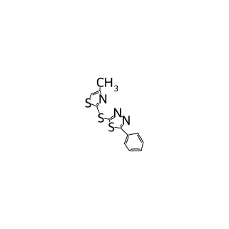 Cc1csc(Sc2nnc(-c3ccccc3)s2)n1